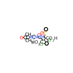 CC12CC(=O)CC1(C)CC(N1CCN(C(=O)CC3=C(C(=O)O)C(c4c(Cl)cccc4Cl)C(C(=O)O)=C(C[S+]([O-])c4ccccc4)N3)CC1)C2